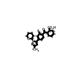 Cc1cc(-c2ccc(C(=O)C3CC=CCC3C(=O)O)c(F)c2)n(C2CCCCO2)n1